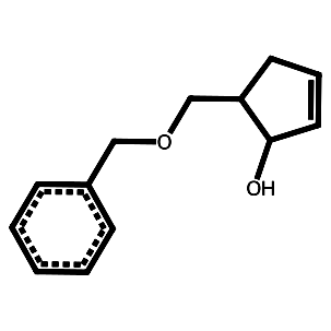 OC1C=CCC1COCc1ccccc1